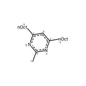 CCCCCCCCc1cc(CCCCCCCC)nc(C)n1